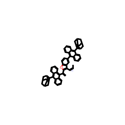 C=C(c1oc2ccc(-c3c4ccccc4c(C4C5CC6CC(C5)CC4C6)c4ccccc34)cc2c1/C=C\C)c1c2ccccc2c(C2C3CC4CC(C3)CC2C4)c2ccccc12